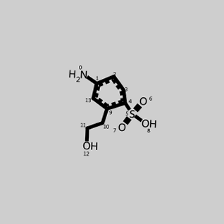 Nc1ccc(S(=O)(=O)O)c(CCO)c1